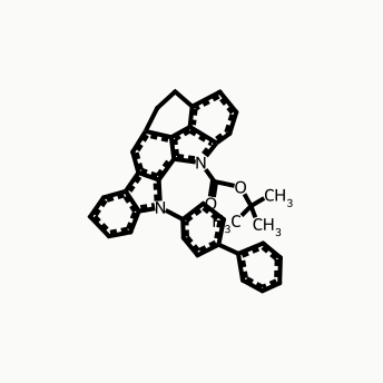 CC(C)(C)OC(=O)n1c2cccc3c2c2c(cc4c5ccccc5n(-c5ccc(-c6ccccc6)cc5)c4c21)CC3